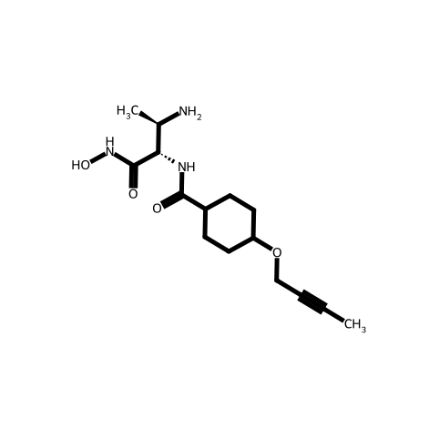 CC#CCOC1CCC(C(=O)N[C@H](C(=O)NO)[C@@H](C)N)CC1